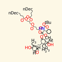 CCCCCCCCCCCCCC(=O)OCC(COC(=O)CCC(=O)O[C@@H](C(=O)O[C@H]1CC(CC[C@H]2[C@@H](C)[C@@H](O)C[C@H]3OC[C@@H]23)C(C)(C)C([C@@H](O)C(C)=O)=C1C)C(NC(=O)OC(C)(C)C)c1ccccc1)OC(=O)CCCCCCCCCCCCC